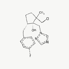 CC1(CCl)CC[C@@H](Cc2ccc(F)cc2)[C@]1(O)Cn1cncn1